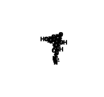 [N-]=[N+]=NCCOC(=O)Nc1ccc(-c2c3ccc(=O)cc-3oc3cc(O)ccc23)c(C(=O)O)c1